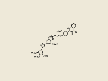 C=C(CCCOc1ccc(C2NC(=O)c3ccccc3N2)cc1OC)Oc1c(OC)cc(-c2cc(-c3cc(OC)c(OC)c(OC)c3)on2)cc1OC